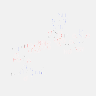 CCNc1nc2c(c(=O)[nH]1)[n+](C)cn2[C@@H]1O[C@H](COP(=O)(O)OP(=O)(O)OP(=O)(O)OC[C@H]2O[C@@H](n3cnc4c(N)ncnc43)[C@H](OC)[C@@H]2OP(=O)([O-])OC[C@H]2O[C@@H](n3ccc(=O)[nH]c3=O)[C@H](O)[C@@H]2O)[C@@H](CC(=O)N(C)C)[C@H]1O